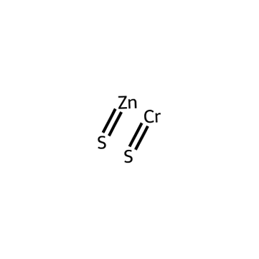 [S]=[Cr].[S]=[Zn]